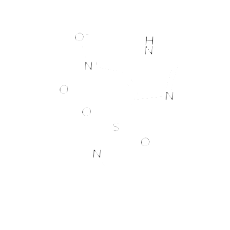 CN(C)S(=O)(=O)c1nc[nH]c1[N+](=O)[O-]